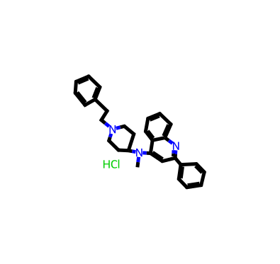 CN(c1cc(-c2ccccc2)nc2ccccc12)C1CCN(CCc2ccccc2)CC1.Cl